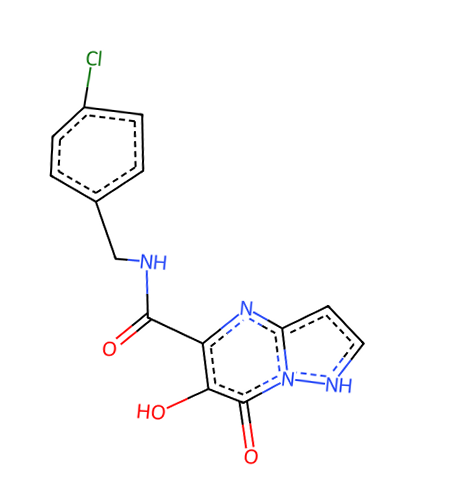 O=C(NCc1ccc(Cl)cc1)c1nc2cc[nH]n2c(=O)c1O